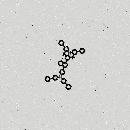 CC1(C)c2cc(-c3ccccc3)ccc2N2c3ccc(-c4ccccc4)cc3C(C)(C)c3cc(C4=c5ccccc5=C(c5ccc(N(c6ccc(-c7ccccc7)cc6)c6ccc(-c7ccccc7)cc6)cc5)CC4)cc1c32